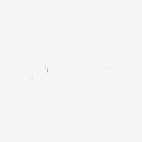 N[C@@H](CC1=CC(I)C(Oc2ccc(O)c(I)c2)C(I)=C1)C(=O)O